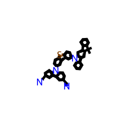 CC1(C)c2ccccc2-c2cc3c(cc21)c1ccccc1n3-c1ccc2sc3ccc(-n4c5ccc(C#N)cc5c5cc(C#N)ccc54)cc3c2c1